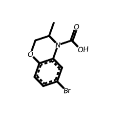 CC1COc2ccc(Br)cc2N1C(=O)O